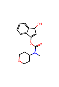 CN(C(=O)OC1=CC(O)c2ccccc21)C1CCOCC1